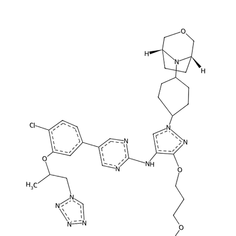 CCOCCCOc1nn(C2CCC(N3[C@@H]4CC[C@H]3COC4)CC2)cc1Nc1ncc(-c2ccc(Cl)c(OC(C)Cn3cnnn3)c2)cn1